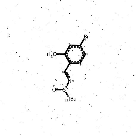 Cc1cc(Br)ccc1C=N[S+]([O-])C(C)(C)C